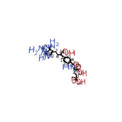 Nc1nc(N)c2c(CCC(CO)c3ccc(C(=O)N[C@@H](CCC(=O)O)C(=O)O)cc3)c[nH]c2n1